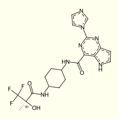 C[C@@](O)(C(=O)NC1CCC(NC(=O)c2nc(-n3ccnc3)nc3cc[nH]c23)CC1)C(F)(F)F